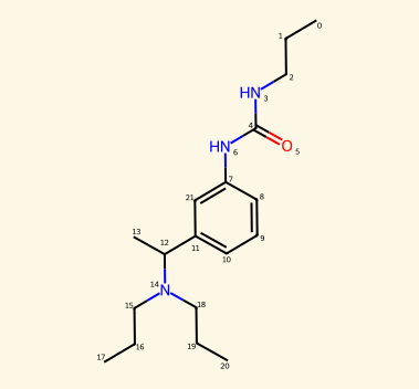 CCCNC(=O)Nc1cccc(C(C)N(CCC)CCC)c1